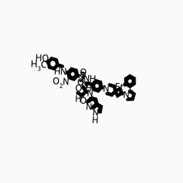 CCc1ccccc1[C@@H]1CCCN1C1CC2(CCN(c3ccc(C(=O)NS(=O)(=O)c4ccc(NCC5CCC(C)(O)CC5)c([N+](=O)[O-])c4)c(N4c5cc6cc[nH]c6nc5O[C@@H]5COC[C@@H]54)c3)CC2)C1